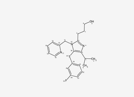 CC(C)c1nc(CCCO)n(Cc2ccccn2)c1Sc1cccc(F)c1